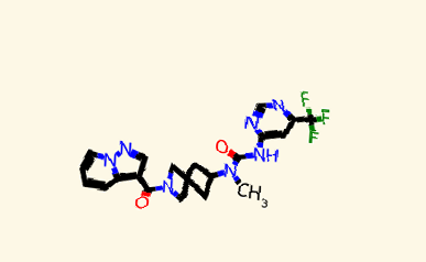 CN(C(=O)Nc1cc(C(F)(F)F)ncn1)C1CC2(C1)CN(C(=O)c1cnn3ccccc13)C2